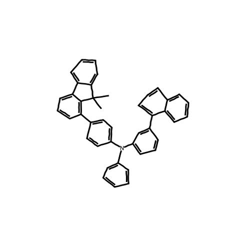 CC1(C)c2ccccc2-c2cccc(-c3ccc(N(c4ccccc4)c4cccc(-c5cccc6ccccc56)c4)cc3)c21